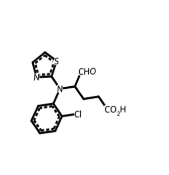 O=CC(CCC(=O)O)N(c1nccs1)c1ccccc1Cl